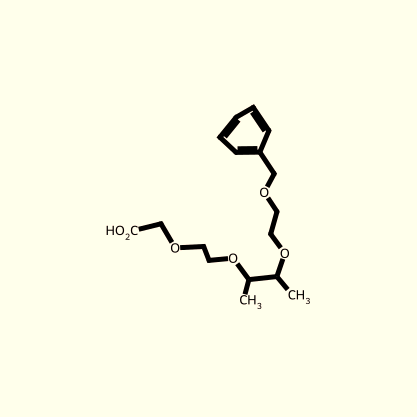 CC(OCCOCC(=O)O)C(C)OCCOCc1ccccc1